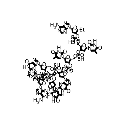 CC[C@H]1O[C@@H](n2cnc3c(N)ncnc32)CC1OP(=O)(S)OC[C@H]1O[C@@H](n2cc(C)c(=O)[nH]c2=O)CC1OP(=O)(S)OC[C@H]1O[C@@H](n2cc(C)c(=O)[nH]c2=O)CC1OP(=O)(S)OC[C@H]1O[C@@H](n2cnc3c(=O)[nH]c(N)nc32)CC1OP(=O)(S)OC[C@H]1O[C@@H](n2cnc3c(=O)[nH]c(N)nc32)CC1OP(=O)(S)OC[C@H]1O[C@@H](n2cc(C)c(=O)[nH]c2=O)CC1OP(=O)(S)OC[C@H]1O[C@@H](n2cnc3c(N)ncnc32)CC1OP(=O)(S)OC